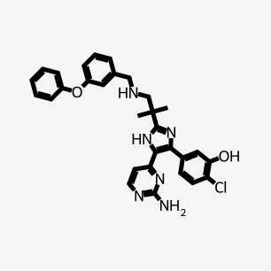 CC(C)(CNCc1cccc(Oc2ccccc2)c1)c1nc(-c2ccc(Cl)c(O)c2)c(-c2ccnc(N)n2)[nH]1